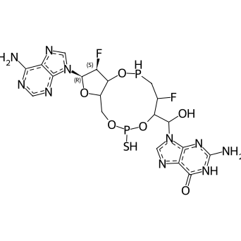 Nc1nc2c(ncn2C(O)C2OP(S)OCC3O[C@@H](n4cnc5c(N)ncnc54)[C@@H](F)C3OPCC2F)c(=O)[nH]1